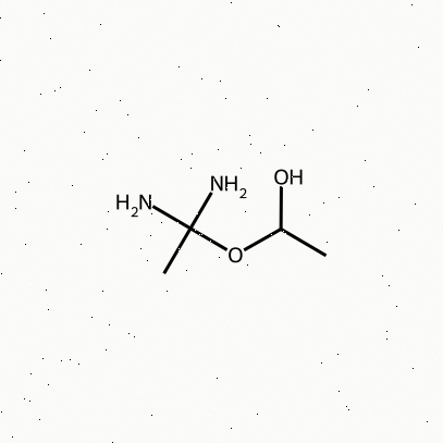 CC(O)OC(C)(N)N